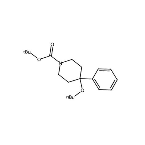 CCCCOC1(c2ccccc2)CCN(C(=O)OC(C)(C)C)CC1